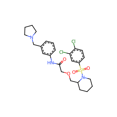 O=C(COCC1CCCCN1S(=O)(=O)c1ccc(Cl)c(Cl)c1)Nc1cccc(CN2CCCC2)c1